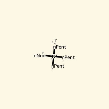 CCCCCCCCC[N+](CCCCC)(CCCCC)CCCCC.[I-]